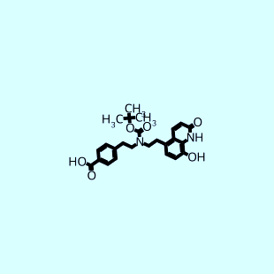 CC(C)(C)OC(=O)N(CCc1ccc(C(=O)O)cc1)CCc1ccc(O)c2[nH]c(=O)ccc12